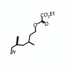 C=C(CC(C)C)CC(C)CCOC(=O)C(=O)OCC